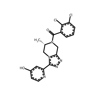 C[C@H]1Cn2c(nnc2-c2cc(O)ccn2)CN1C(=O)c1cccc(Cl)c1Cl